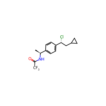 C[C@H](NC(=O)C(F)(F)F)c1ccc([C@H](Cl)CC2CC2)cc1